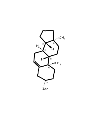 CC(=O)O[C@H]1CC[C@@]2(C)C(=CC[C@H]3[C@@H]4CCC[C@@]4(C)CC[C@@H]32)C1